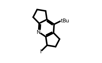 CC(C)(C)c1c2c(nc3c1CCC3I)CCC2